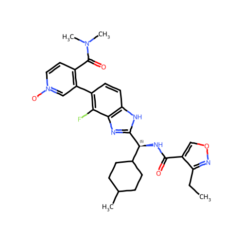 CCc1nocc1C(=O)N[C@H](c1nc2c(F)c(-c3c[n+]([O-])ccc3C(=O)N(C)C)ccc2[nH]1)C1CCC(C)CC1